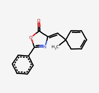 CC1(C=C2N=C(c3ccccc3)OC2=O)C=CC=CC1